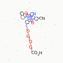 N#Cc1ccc(NC(=O)c2cccc(CCCOCCOCCOCCOCCC(=O)O)c2)c(-c2nccc(C(=O)N[C@H]3CCCc4ccccc43)n2)c1